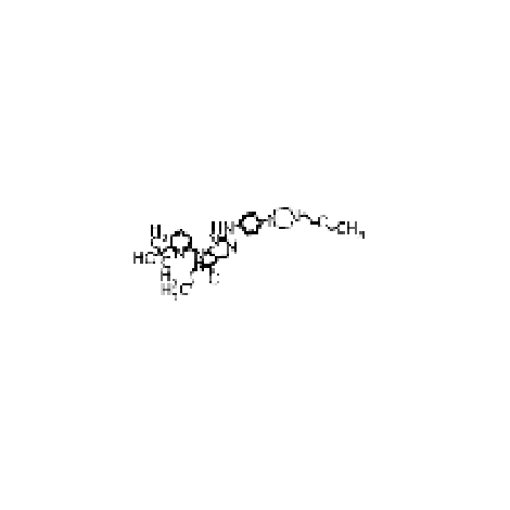 C=CCn1c(=O)c2cnc(Nc3ccc(N4CCN(CCOCC)CC4)cc3)nc2n1-c1cccc(C(C)(C)O)n1